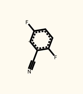 N#Cc1[c]c(F)ccc1F